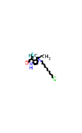 CCc1c(C)c2c3c(C(F)(F)F)cc(=O)[nH]c3ccc2n1CCCCCCCCCCCl